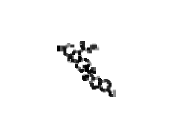 CC(C)(C)OC(=O)C(C1CCNCC1)N1CCN(S(=O)(=O)c2ccc3cc(Cl)ccc3c2)CCC1=O